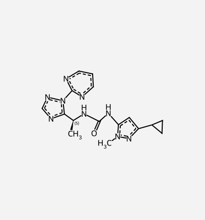 C[C@H](NC(=O)Nc1cc(C2CC2)nn1C)c1ncnn1-c1ncccn1